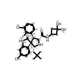 CC(C)(C)C[C@H]1N[C@@H](C(=O)NC2CC(O)(O)C2)[C@H](c2cccc(Cl)c2F)[C@@]12C(=O)Nc1cc(Cl)ccc12